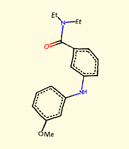 CCN(CC)C(=O)c1cccc(Nc2cccc(OC)c2)c1